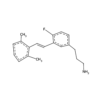 Cc1cccc(C)c1/C=C/c1cc(CCCN)ccc1F